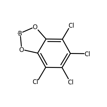 Clc1c(Cl)c(Cl)c2c(c1Cl)O[B]O2